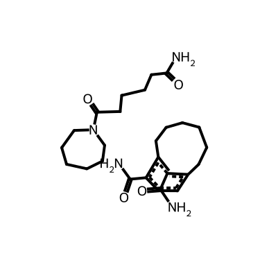 NC(=O)CCCCC(=O)N1CCCCCC1.NC(=O)c1ccc2c(C(N)=O)c1CCCCCC2